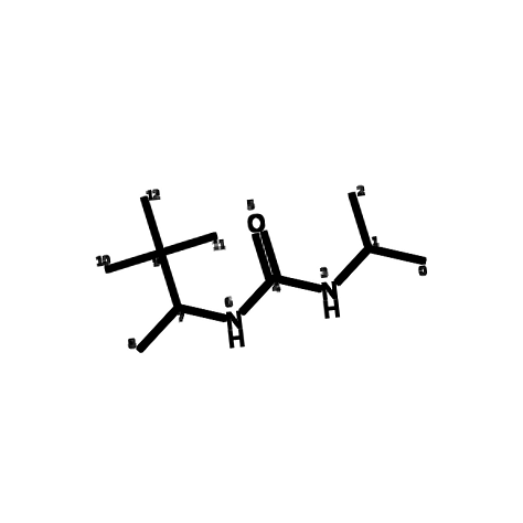 CC(C)NC(=O)NC(C)C(C)(C)C